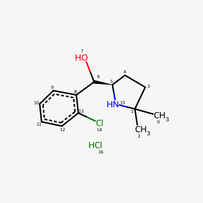 CC1(C)CC[C@H](C(O)c2ccccc2Cl)N1.Cl